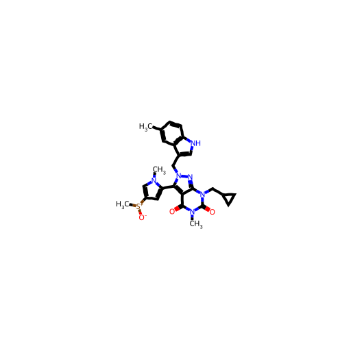 Cc1ccc2[nH]cc(Cn3nc4c(c3-c3cc([S+](C)[O-])cn3C)c(=O)n(C)c(=O)n4CC3CC3)c2c1